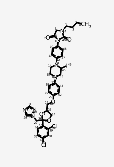 CCCCN1CC(=O)N(c2ccc(N3CCN(c4ccc(OCC5COC(Cn6cncn6)(c6ccc(Cl)cc6Cl)O5)cc4)CC3I)cc2)C1=O